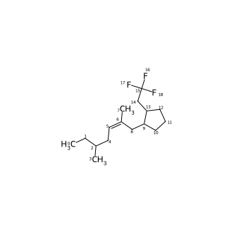 CCC(C)C/C=C(/C)CC1CCCC1CC(F)(F)F